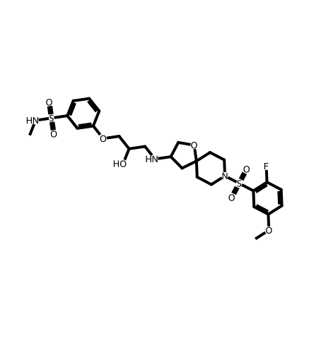 CNS(=O)(=O)c1cccc(OCC(O)CNC2COC3(CCN(S(=O)(=O)c4cc(OC)ccc4F)CC3)C2)c1